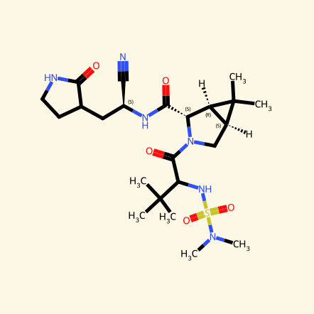 CN(C)S(=O)(=O)NC(C(=O)N1C[C@H]2[C@@H]([C@H]1C(=O)N[C@H](C#N)CC1CCNC1=O)C2(C)C)C(C)(C)C